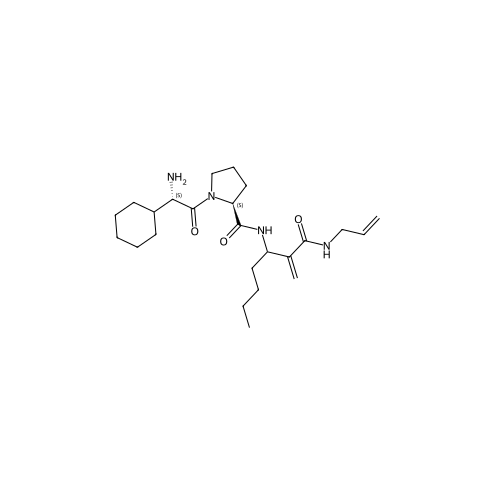 C=CCNC(=O)C(=C)C(CCCC)NC(=O)[C@@H]1CCCN1C(=O)[C@@H](N)C1CCCCC1